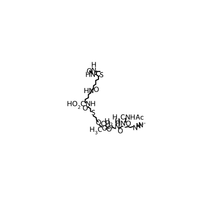 CC(=O)N[C@H](C)C(=O)N[C@H](CCCCN=[N+]=[N-])C(=O)NCCO[SiH2]OC(C)(C)COCCCSCCC(=O)N[C@H](CCCCNC(=O)CCCCC1SCC2NC(=O)NC21)C(=O)O